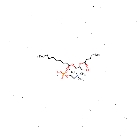 CCCCCCCCCCCCCCCCCC(=O)OC[C@H](CO)OC(=O)CCCCCCCCCCCCC.C[N+](C)(C)CCOP(=O)([O-])O